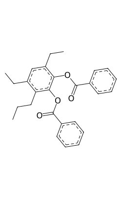 CCCc1c(CC)cc(CC)c(OC(=O)c2ccccc2)c1OC(=O)c1ccccc1